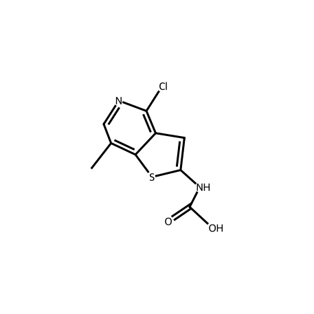 Cc1cnc(Cl)c2cc(NC(=O)O)sc12